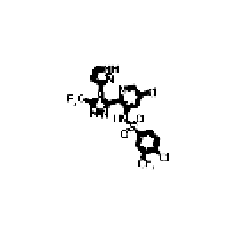 O=S(=O)(Nc1cc(Cl)cnc1-c1nnc(C(F)(F)F)n1-c1cc[nH]n1)c1ccc(Cl)c(C(F)(F)F)c1